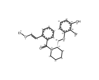 CCO/C=C/c1ccccc1C(=O)N1CCCC[C@H]1COc1cccc(O)c1Br